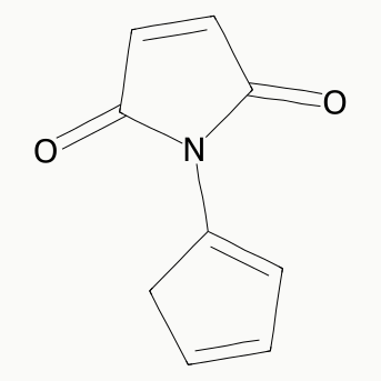 O=C1C=CC(=O)N1C1=CC=CC1